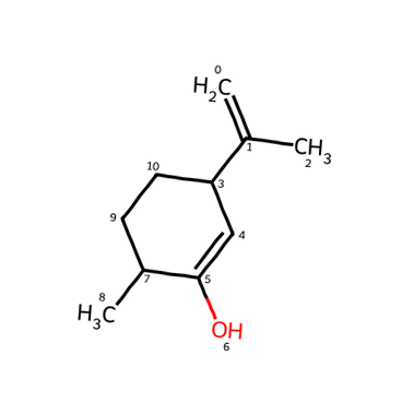 C=C(C)C1C=C(O)C(C)CC1